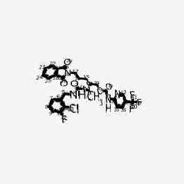 CN(C(=O)NCc1cccc(F)c1Cl)[C@@H](CCCN1C(=O)c2ccccc2C1=O)COC(=O)Nc1ccc(C(F)(F)F)cn1